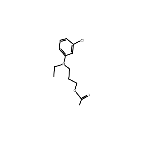 CCN(CCCOC(C)=O)c1cccc(Cl)c1